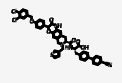 N#Cc1ccc(-c2ccc(C[C@H](NC(=O)[C@@H]3Cc4cc5c(cc4CN3Cc3ccsc3)OC(c3ccc(OCc4ccc(Cl)c(Cl)c4)cc3)C(=O)N5)C(=O)O)cc2)cc1